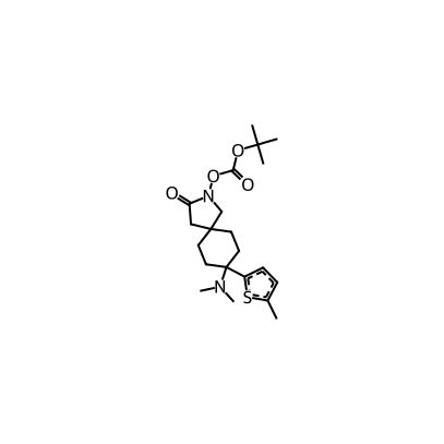 Cc1ccc(C2(N(C)C)CCC3(CC2)CC(=O)N(OC(=O)OC(C)(C)C)C3)s1